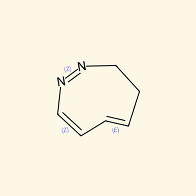 C1=C\N=N/CC/C=C/1